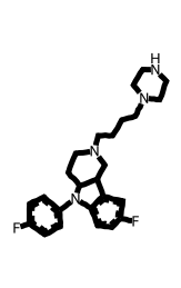 Fc1ccc(N2c3ccc(F)cc3C3CN(CCCCN4CCNCC4)CCC32)cc1